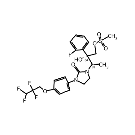 C[C@@H](N1CCN(c2ccc(OCC(F)(F)C(F)F)cc2)C1=O)[C@](O)(COS(C)(=O)=O)c1ccccc1F